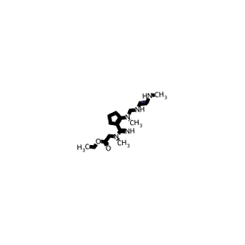 CCOC(=O)CN(C)C(=N)C1=C(N(C)CN/C=C/NC)CCC1